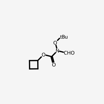 CC(C)(C)ON(C=O)C(=O)OC1CCC1